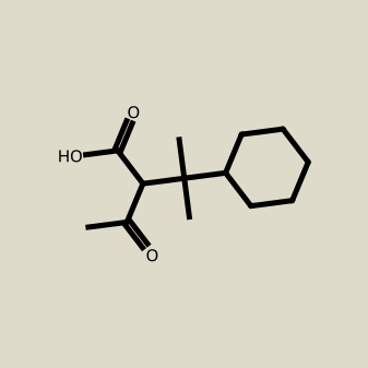 CC(=O)C(C(=O)O)C(C)(C)C1CCCCC1